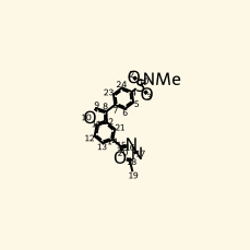 CNS(=O)(=O)c1ccc(-c2coc3ccc(-c4nnc(C)o4)cc23)cc1